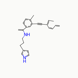 C=C/C=C\C(C#Cc1cc(C(=C)NCCCc2cc[nH]c2)ccc1C)=C/C